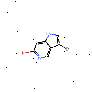 CCc1c[nH]c2cc(Br)ncc12